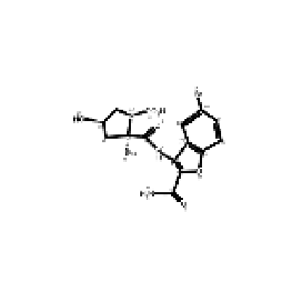 CC(C)(C)[C@]1(C(=O)Nc2c(C(N)=O)oc3ccc(Br)cc23)C[C@@H](O)CN1C(=O)O